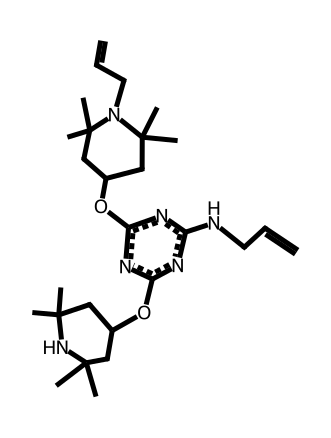 C=CCNc1nc(OC2CC(C)(C)NC(C)(C)C2)nc(OC2CC(C)(C)N(CC=C)C(C)(C)C2)n1